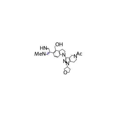 CN/C=C(\C=N)c1ccc2c(c1CO)CCN2c1nn(C2CCOC2)c2c1CN(C(C)=O)CC2